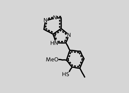 COc1c(-c2nc3cnncc3[nH]2)ccc(C)c1S